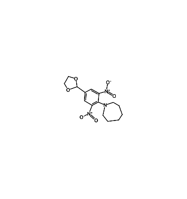 O=[N+]([O-])c1cc(C2OCCO2)cc([N+](=O)[O-])c1N1CCCCCC1